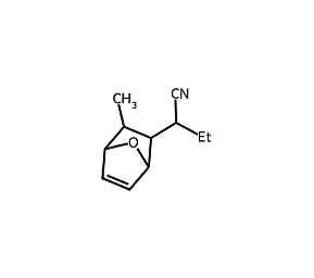 CCC(C#N)C1C2C=CC(O2)C1C